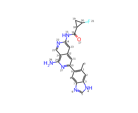 Cc1cc2[nH]cnc2cc1-c1cc2cc(NC(=O)C3CC3F)ncc2c(N)n1